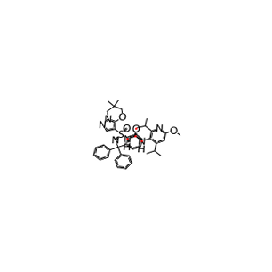 COc1cc(C(C)C)c(NC(=O)NS(=O)(=NC(c2ccccc2)(c2ccccc2)c2ccccc2)c2cnn3c2OCC(C)(C)C3)c(C(C)C)n1